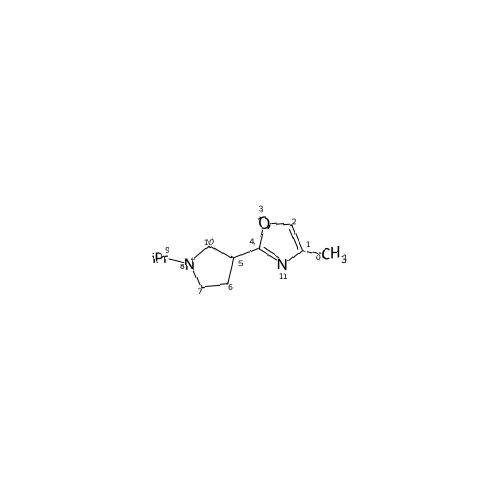 Cc1coc(C2CCN(C(C)C)C2)n1